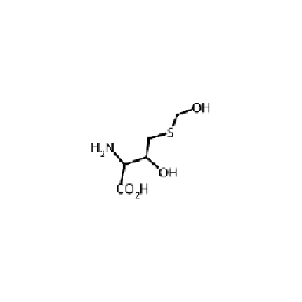 NC(C(=O)O)C(O)CSCO